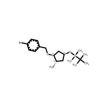 CC(C)(C)[Si](C)(C)O[C@@H]1C[C@H](OCc2ccc(Br)cc2)[C@@H](N)C1